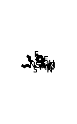 CCCCN(CCCC)C(=S)S[C@H](C)[C@](O)(Cn1cncn1)c1ccc(F)cc1F